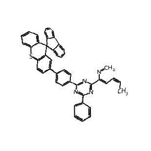 C=N/C(=C\C=C/C)c1nc(-c2ccccc2)nc(-c2ccc(-c3ccc4c(c3)C3(c5ccccc5S4)c4ccccc4-c4ccccc43)cc2)n1